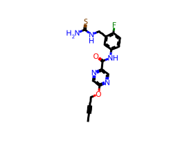 CC#CCOc1cnc(C(=O)Nc2ccc(F)c(CNC(N)=S)c2)cn1